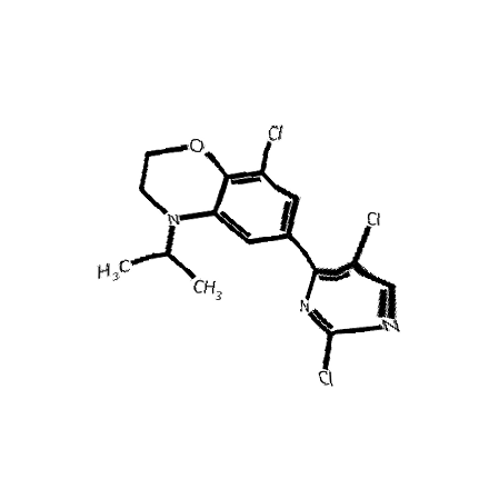 CC(C)N1CCOc2c(Cl)cc(-c3nc(Cl)ncc3Cl)cc21